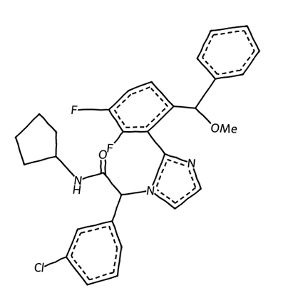 COC(c1ccccc1)c1ccc(F)c(F)c1-c1nccn1C(C(=O)NC1CCCC1)c1cccc(Cl)c1